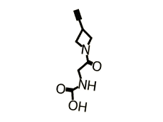 C#CC1CN(C(=O)CNC(=O)O)C1